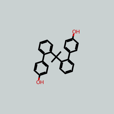 CC(C)(c1ccccc1-c1ccc(O)cc1)c1ccccc1-c1ccc(O)cc1